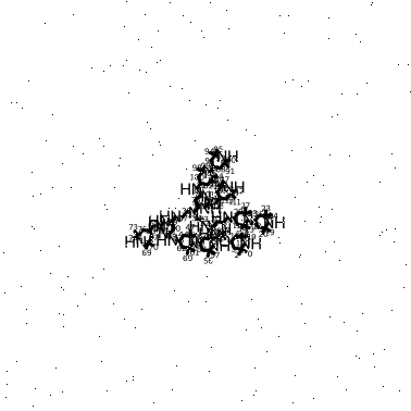 CC1(C)CC(ON2N=C(NC3CC(C)(C)N(C4CC(C)(C)NC(C)(C)C4)C(C)(C)C3)C=C(NCCN(CCNC3=CC(NC4CC(C)(C)N(C5CC(C)(C)NC(C)(C)C5)C(C)(C)C4)=NN(OC4CC(C)(C)NC(C)(C)C4)N3)C3=CC(NC4CC(C)(C)N(C5CC(C)(C)NC(C)(C)C5)C(C)(C)C4)=NN(OC4CC(C)(C)NC(C)(C)C4)N3)N2)CC(C)(C)N1